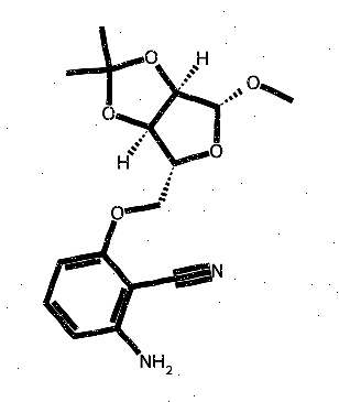 CO[C@@H]1O[C@H](COc2cccc(N)c2C#N)[C@H]2OC(C)(C)O[C@@H]12